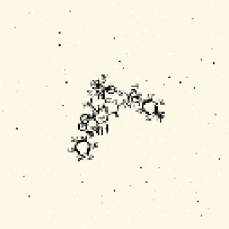 C[C@]1(NCCCC[C@H](NC(=O)c2ccccc2)C(=O)N2CCN(S(C)(=O)=O)CC2)C[C@@H]1c1ccc(F)cc1